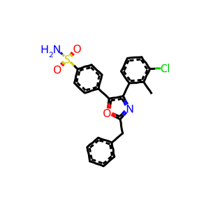 Cc1c(Cl)cccc1-c1nc(Cc2ccccc2)oc1-c1ccc(S(N)(=O)=O)cc1